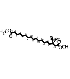 COC(=O)CCCCCCCCCCCCCCC(CC(=O)OC)[N+](=O)[O-]